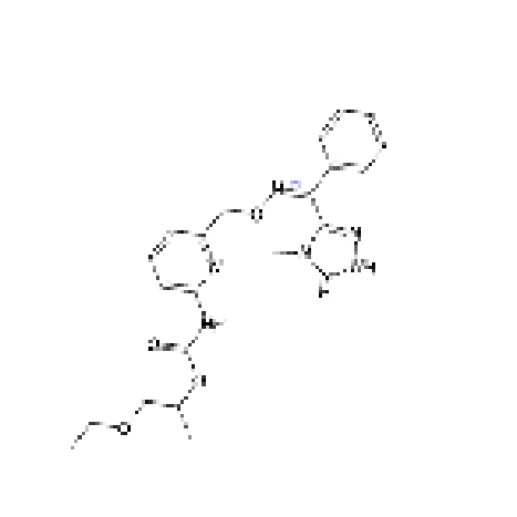 CCOCC(C)OC(=O)Nc1cccc(CO/N=C(\C2=NNNN2C)c2ccccc2)n1